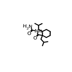 CC(C)CC1CCCCC1(CC(C)C)C(=O)NC(N)=O